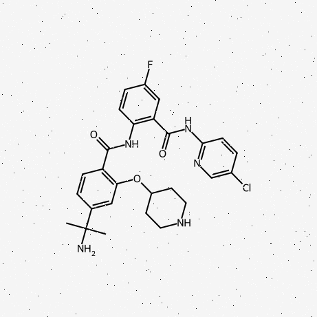 CC(C)(N)c1ccc(C(=O)Nc2ccc(F)cc2C(=O)Nc2ccc(Cl)cn2)c(OC2CCNCC2)c1